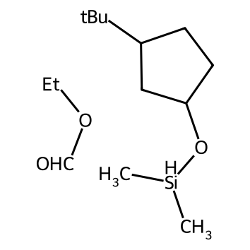 CCOC=O.C[SiH](C)OC1CCC(C(C)(C)C)C1